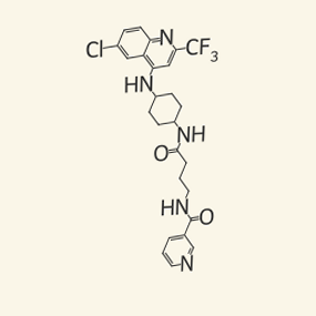 O=C(CCCNC(=O)c1cccnc1)NC1CCC(Nc2cc(C(F)(F)F)nc3ccc(Cl)cc23)CC1